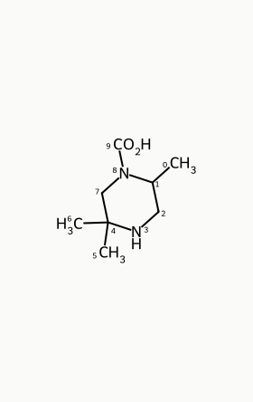 CC1CNC(C)(C)CN1C(=O)O